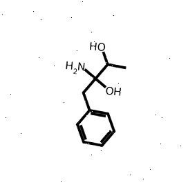 CC(O)C(N)(O)Cc1ccccc1